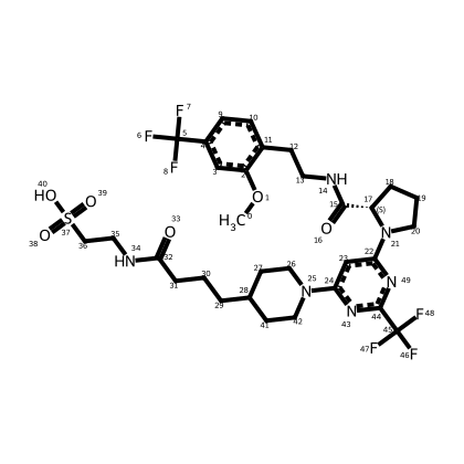 COc1cc(C(F)(F)F)ccc1CCNC(=O)[C@@H]1CCCN1c1cc(N2CCC(CCCC(=O)NCCS(=O)(=O)O)CC2)nc(C(F)(F)F)n1